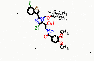 COc1ccc(C(=O)NCC(O)c2c(Br)nc(-c3csc4c(F)cccc34)n2COCC[Si](C)(C)C)cc1OC